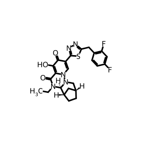 CCN1C(=O)c2c(O)c(=O)c(-c3nnc(Cc4ccc(F)cc4F)s3)cn2N2C[C@@H]3CC[C@@H](C3)[C@@H]12